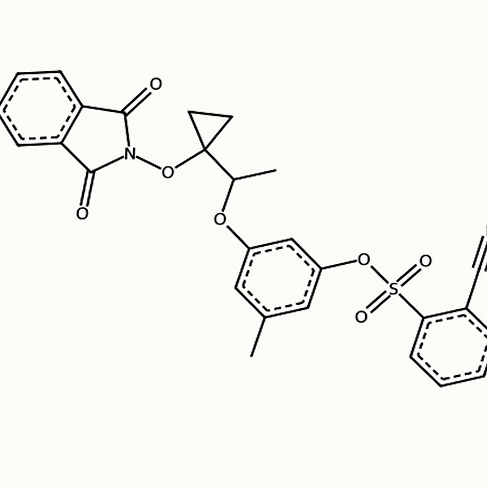 Cc1cc(OC(C)C2(ON3C(=O)c4ccccc4C3=O)CC2)cc(OS(=O)(=O)c2ccccc2C#N)c1